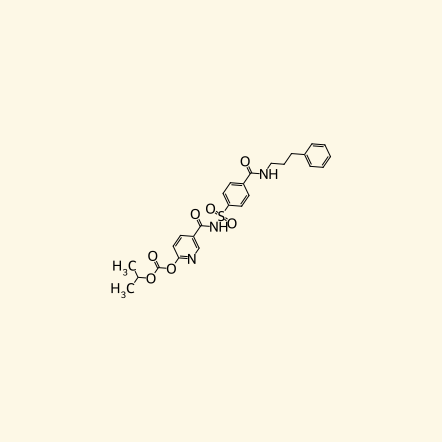 CC(C)OC(=O)Oc1ccc(C(=O)NS(=O)(=O)c2ccc(C(=O)NCCCc3ccccc3)cc2)cn1